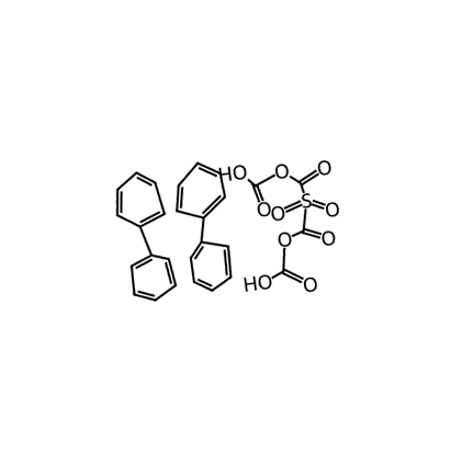 O=C(O)OC(=O)S(=O)(=O)C(=O)OC(=O)O.c1ccc(-c2ccccc2)cc1.c1ccc(-c2ccccc2)cc1